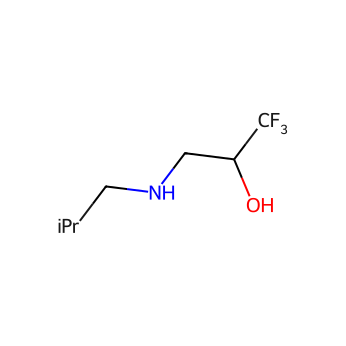 CC(C)CNCC(O)C(F)(F)F